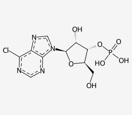 O=P(O)(O)O[C@H]1[C@@H](O)[C@H](n2cnc3c(Cl)ncnc32)O[C@@H]1CO